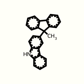 CC1(c2ccc3[nH]c4ccccc4c3c2)c2ccccc2-c2ccccc21